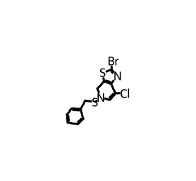 ClC1=CN(SCc2ccccc2)Cc2sc(Br)nc21